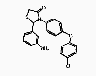 Nc1cccc(C2SCC(=O)N2c2ccc(Oc3ccc(Cl)cc3)cc2)c1